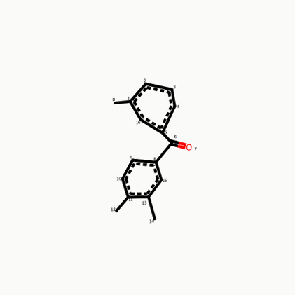 Cc1cccc(C(=O)c2ccc(C)c(C)c2)c1